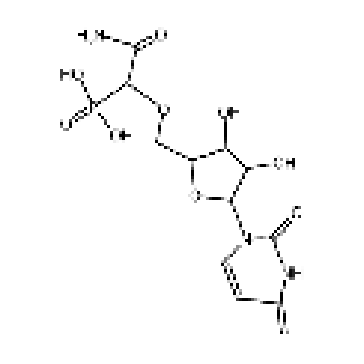 C=C1C=CN(C2OC(COC(C(N)=O)P(=O)(O)O)C(O)C2O)C(=O)N1